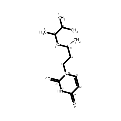 CC(C)C(C)O[C@H](C)CCn1ccc(=O)[nH]c1=O